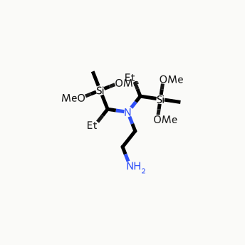 CCC(N(CCN)C(CC)[Si](C)(OC)OC)[Si](C)(OC)OC